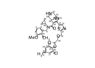 COc1cccc(CN(C(=O)C2=C(c3cnc(COCCOc4c(Cl)cc(C)cc4Cl)s3)CC3CNCC2N3)C2CC2)c1C